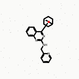 c1ccc(CNc2nc(N3CC4CCC(CC4)C3)c3ccccc3n2)nc1